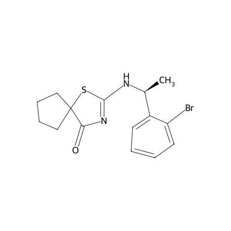 C[C@H](NC1=NC(=O)C2(CCCC2)S1)c1ccccc1Br